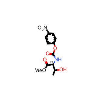 COC(=O)[C@@H](NC(=O)Oc1ccc([N+](=O)[O-])cc1)C(C)O